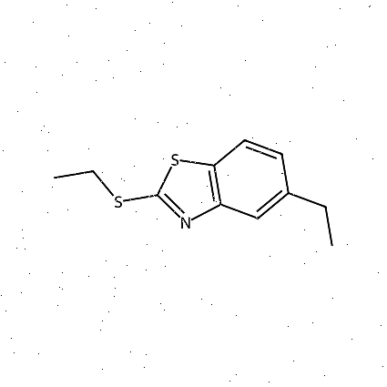 CCSc1nc2cc(CC)ccc2s1